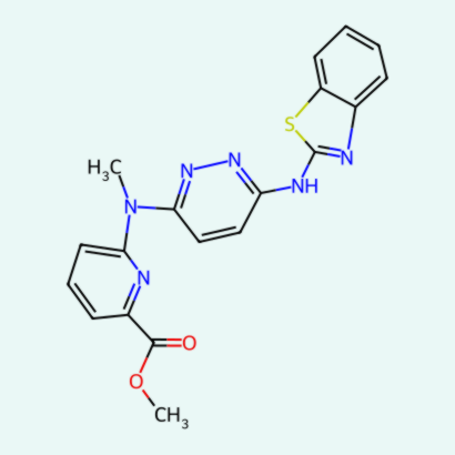 COC(=O)c1cccc(N(C)c2ccc(Nc3nc4ccccc4s3)nn2)n1